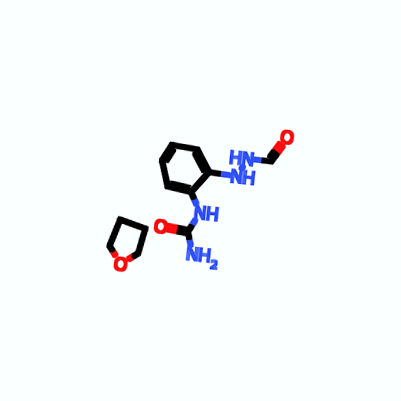 C1CCOC1.NC(=O)Nc1ccccc1NNC=O